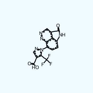 O=C(O)c1cnn(-c2ccc3c4c(cnnc24)C(=O)N3)c1C(F)(F)F